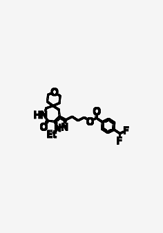 CCn1nc(CCCOC(=O)c2ccc(C(F)F)cc2)c2c1C(=O)NCC1(CCOCC1)C2